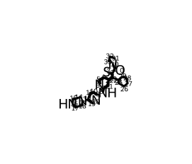 O=C(c1sc2cnc(Nc3ccc(N4CCNCC4)cn3)cc2c1C1CCCCC1)N1CCC1